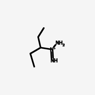 CCC(CC)[N+](=N)N